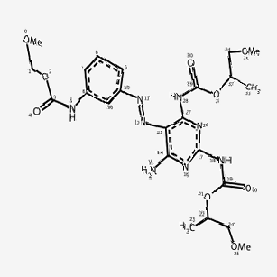 COCOC(=O)Nc1cccc(N=Nc2c(N)nc(NC(=O)OC(C)COC)nc2NC(=O)OC(C)COC)c1